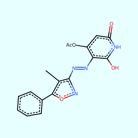 CC(=O)Oc1cc(=O)[nH]c(O)c1N=Nc1noc(-c2ccccc2)c1C